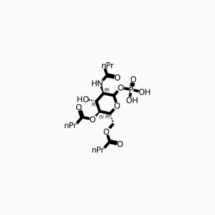 CCCC(=O)N[C@H]1C(OP(=O)(O)O)O[C@H](COC(=O)CCC)[C@@H](OC(=O)CCC)[C@@H]1O